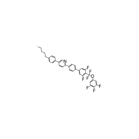 CCCCCc1ccc(-c2ccc(-c3ccc(-c4cc(F)c(C(F)(F)Oc5cc(F)c(F)c(F)c5)c(F)c4)cc3)nc2)cc1